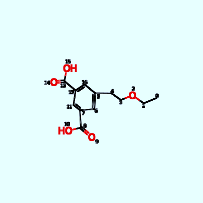 CCOCCc1cc(C(=O)O)cc(C(=O)O)c1